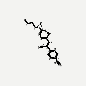 CCCCN(C)c1ncc(/C=C(\C#N)c2ccc(C#N)cc2)cn1